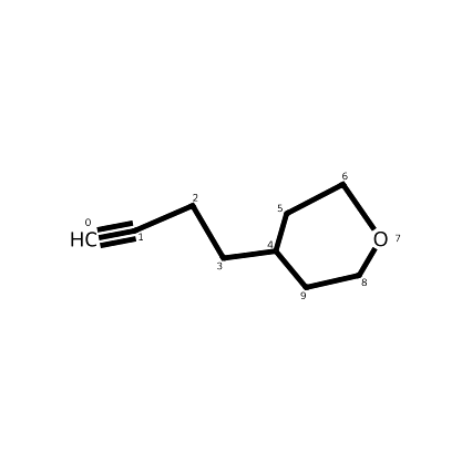 C#CCCC1CCOCC1